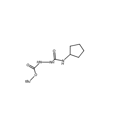 CC(C)(C)OC(=O)NNC(=O)NC1CCCC1